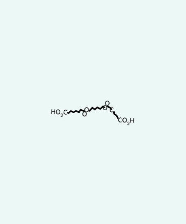 O=C(O)CCCCCCC(=O)OCCCCCCOC(=O)CCCCCCC(=O)O